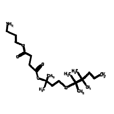 CCCC(C)(C)C(C)(C)OCCC(C)(C)OC(=O)CCC(=O)OCCCN